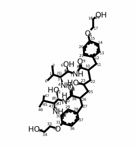 CC(C)[C@H](N)[C@@H](O)NC(=O)C(Cc1ccc(OCCO)cc1)CC(O)CC(Cc1ccc(OCCO)cc1)C(=O)N[C@H](O)[C@@H](N)C(C)C